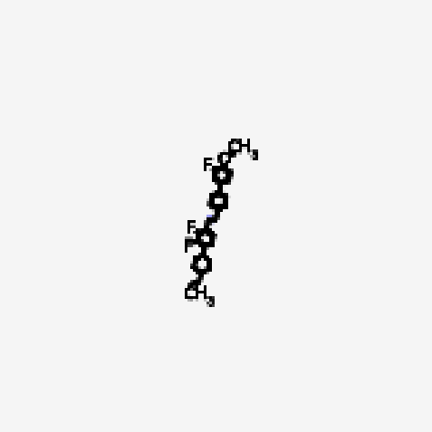 CCCC1CCC(c2ccc(/C=C/c3ccc(-c4ccc(OCC)c(F)c4)cc3)c(F)c2F)CC1